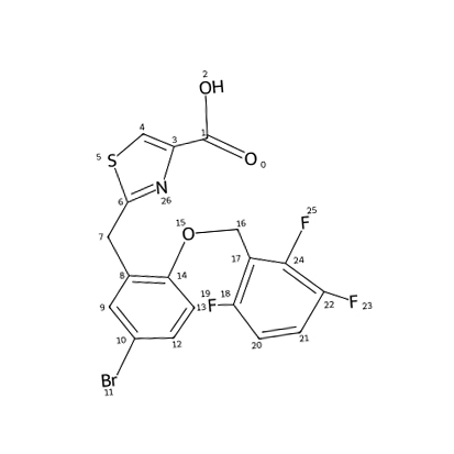 O=C(O)c1csc(Cc2cc(Br)ccc2OCc2c(F)ccc(F)c2F)n1